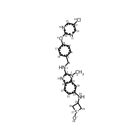 Cn1c(NCc2ccc(Oc3ncc(Cl)cn3)cc2)nc2ccc(NC3C[S+]([O-])C3)cc21